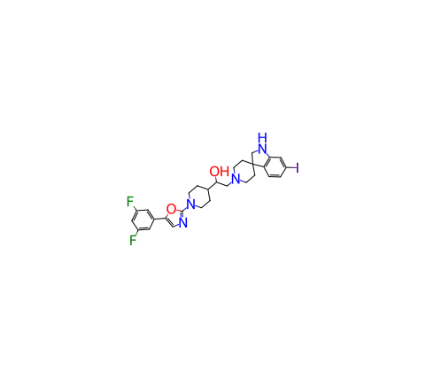 OC(CN1CCC2(CC1)CNc1cc(I)ccc12)C1CCN(c2ncc(-c3cc(F)cc(F)c3)o2)CC1